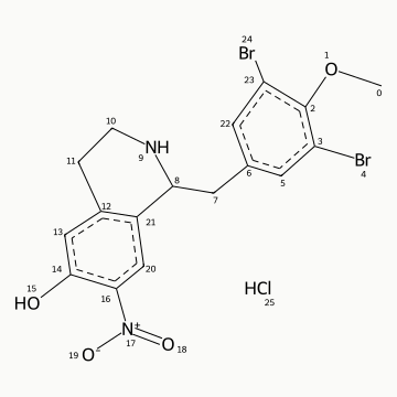 COc1c(Br)cc(CC2NCCc3cc(O)c([N+](=O)[O-])cc32)cc1Br.Cl